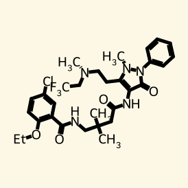 CCOc1ccc(Cl)cc1C(=O)NCC(C)(C)CC(=O)Nc1c(CCN(C)CC(F)(F)F)n(C)n(-c2ccccc2)c1=O